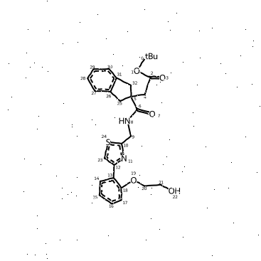 CC(C)(C)OC(=O)CC1(C(=O)NCc2nc(-c3ccccc3OCCO)cs2)Cc2ccccc2C1